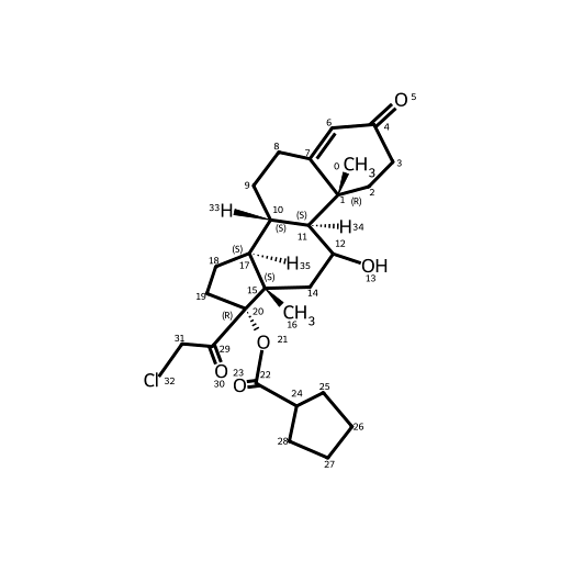 C[C@]12CCC(=O)C=C1CC[C@@H]1[C@@H]2C(O)C[C@@]2(C)[C@H]1CC[C@]2(OC(=O)C1CCCC1)C(=O)CCl